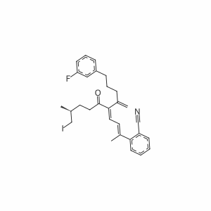 C=C(CCCc1cccc(F)c1)/C(=C\C=C(/C)c1ccccc1C#N)C(=O)CC[C@H](C)CI